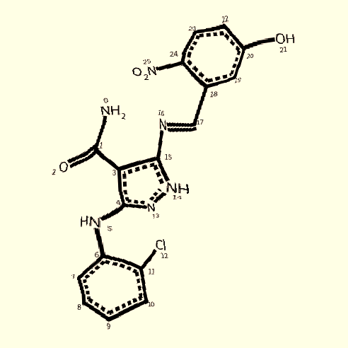 NC(=O)c1c(Nc2ccccc2Cl)n[nH]c1/N=C/c1cc(O)ccc1[N+](=O)[O-]